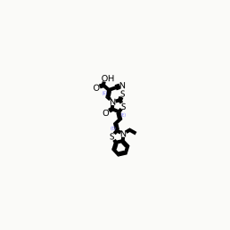 CCN1/C(=C\C=C2\SC(=S)N(/C=C(\C#N)C(=O)O)C2=O)Sc2ccccc21